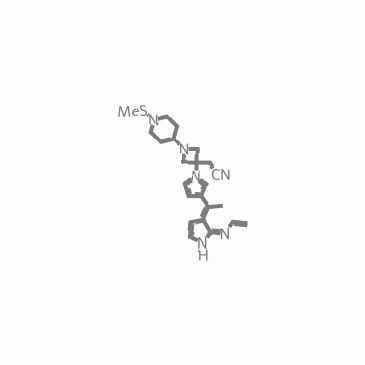 C=C/N=C1/NC=C/C1=C(/C)c1ccn(C2(CC#N)CN(C3CCN(SC)CC3)C2)c1